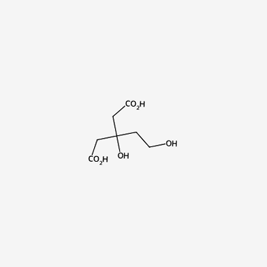 O=C(O)CC(O)(CCO)CC(=O)O